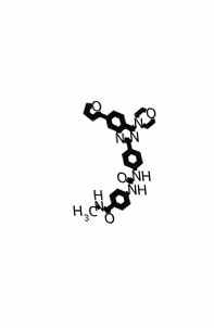 CNC(=O)c1ccc(NC(=O)Nc2ccc(-c3nc(N4CCOCC4)c4ccc(-c5ccco5)cc4n3)cc2)cc1